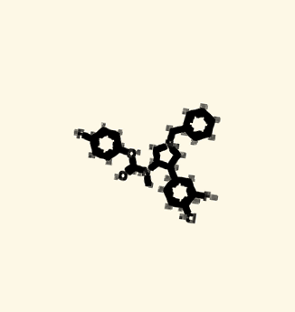 CN(C(=O)Oc1ccc(F)cc1)C1CN(Cc2ccccc2)CC1c1ccc(Cl)c(F)c1